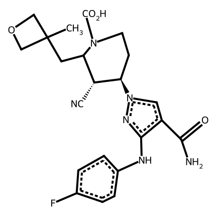 CC1(CC2[C@@H](C#N)[C@H](n3cc(C(N)=O)c(Nc4ccc(F)cc4)n3)CCN2C(=O)O)COC1